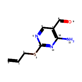 C=CCSc1ncc(C=O)c(N)n1